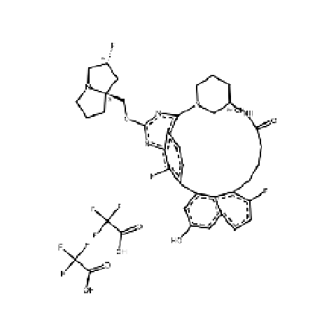 C[C@@]12CCCN(C1)c1nc(OC[C@@]34CCCN3C[C@H](F)C4)nc3c(F)c(ccc13)-c1cc(O)cc3ccc(F)c(c13)CCCC(=O)N2.O=C(O)C(F)(F)F.O=C(O)C(F)(F)F